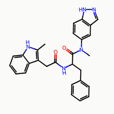 Cc1[nH]c2ccccc2c1CC(=O)NC(Cc1ccccc1)C(=O)N(C)c1ccc2[nH]ncc2c1